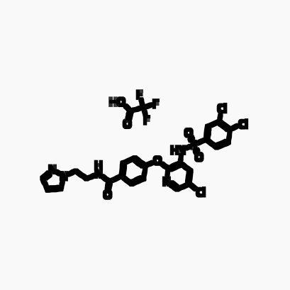 O=C(NCCn1cccn1)c1ccc(Oc2ncc(Cl)cc2NS(=O)(=O)c2ccc(Cl)c(Cl)c2)cc1.O=C(O)C(F)(F)F